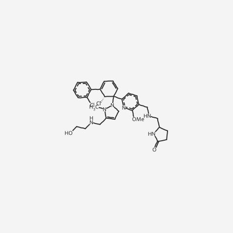 COc1nc(C2(N3CC=C(CNCCO)N3C)C=CC=C(c3ccccc3Cl)[C@H]2Cl)ccc1CNCC1CCC(=O)N1